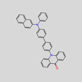 O=c1c2ccccc2n(-c2ccc(-c3ccc(N(c4ccccc4)c4ccc5ccccc5c4)cc3)cc2)c2ccccc12